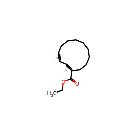 CCOC(=O)/C1=C\C=C/CCCCCCCC1